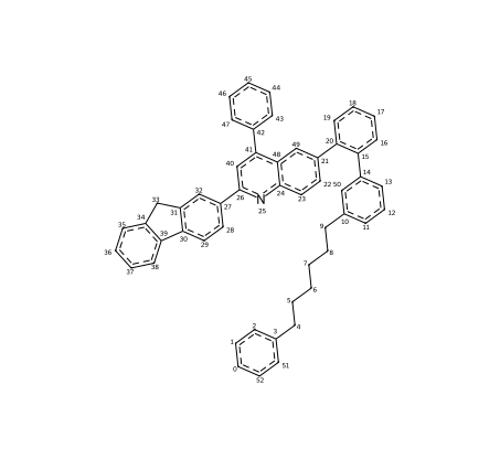 c1ccc(CCCCCCc2cccc(-c3ccccc3-c3ccc4nc(-c5ccc6c(c5)Cc5ccccc5-6)cc(-c5ccccc5)c4c3)c2)cc1